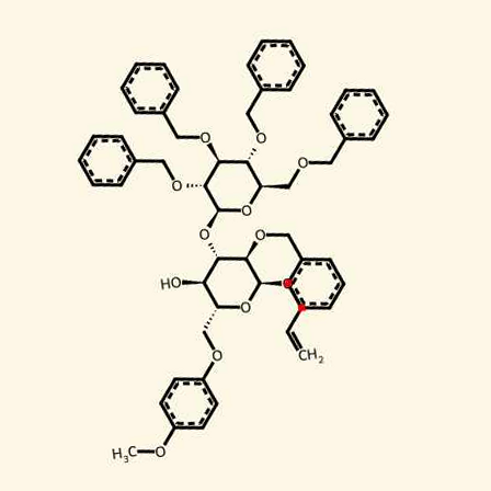 C=CCO[C@H]1O[C@H](COc2ccc(OC)cc2)[C@@H](O)[C@H](O[C@@H]2O[C@H](COCc3ccccc3)[C@@H](OCc3ccccc3)[C@H](OCc3ccccc3)[C@H]2OCc2ccccc2)[C@H]1OCc1ccccc1